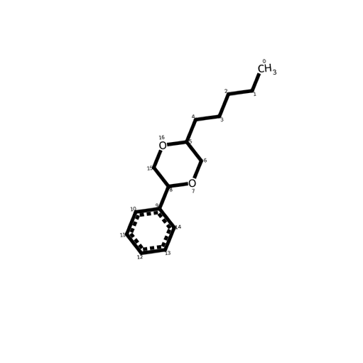 CCCCCC1COC(c2ccccc2)CO1